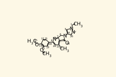 CCn1cc(N2Cc3nc(-c4ccc(OC)c(OC)c4)cc(C)c3C2=O)cn1